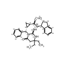 CCC1(CC)CC(=O)N(C(c2cccnc2)[C@@H]2C[C@H]2C(=O)N[C@@H]2c3ccccc3C[C@H]2O)C(=N)N1